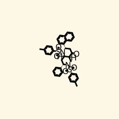 Cc1ccc(S(=O)(=O)N2C[C@H]3C(=O)C[C@@H](c4cccc5ccccc45)N(S(=O)(=O)c4ccc(C)cc4)[C@H]3C[C@H]2c2ccccc2)cc1